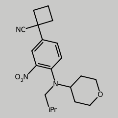 CC(C)CN(c1ccc(C2(C#N)CCC2)cc1[N+](=O)[O-])C1CCOCC1